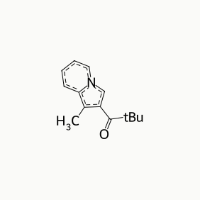 Cc1c(C(=O)C(C)(C)C)cn2ccccc12